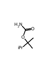 CC(C)C(C)(C)OC(N)=O